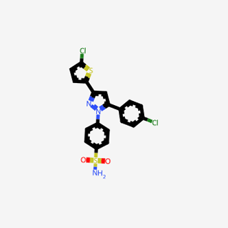 NS(=O)(=O)c1ccc(-n2nc(-c3ccc(Cl)s3)cc2-c2ccc(Cl)cc2)cc1